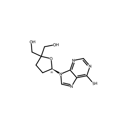 OCC1(CO)CC[C@H](n2cnc3c(S)ncnc32)O1